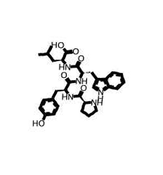 CC(C)C[C@H](NC(=O)[C@H](Cc1c[nH]c2ccccc12)NC(=O)[C@H](Cc1ccc(O)cc1)NC(=O)[C@@H]1CCCN1)C(=O)O